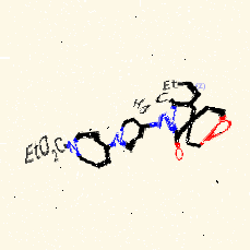 CC/C=C\C1=C(C)N(C2CCN(C3CCCN(C(=O)OCC)CC3)CC2)C(=O)C12CCOCC2